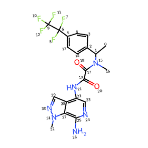 CC(c1ccc(C(F)(F)C(F)(F)F)cc1)N(C)C(=O)C(=O)Nc1cnc(N)c2c1cnn2C